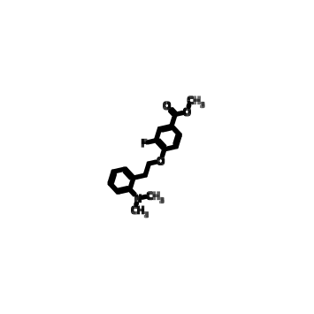 COC(=O)c1ccc(OCCc2ccccc2N(C)C)c(F)c1